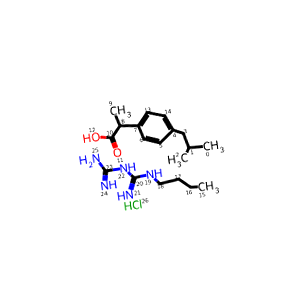 CC(C)Cc1ccc(C(C)C(=O)O)cc1.CCCCNC(=N)NC(=N)N.Cl